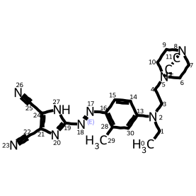 CCN(CC[N+]12CCN(CC1)CC2)c1ccc(/N=N/c2nc(C#N)c(C#N)[nH]2)c(C)c1